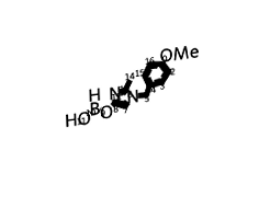 COc1ccc(Cn2cc(OBO)nc2C)cc1